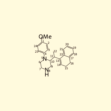 COc1ccc(N2CCNCC2C(C)C2=CCCc3ccccc32)cc1